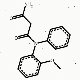 COc1ccccc1N(C(=O)CC(N)=O)c1ccccc1